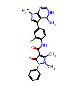 Cc1c(C(=O)Nc2ccc(-c3cn(C)c4c3C(N)NC=N4)cc2F)c(=O)n(-c2ccccc2)n1C